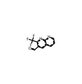 O=[C]c1cc2cccnc2nc1C(F)(F)F